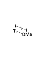 C[O][Ti].I[I-]I